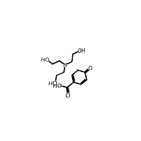 O=C1C=CC(C(=O)O)=CC1.OCCN(CCO)CCO